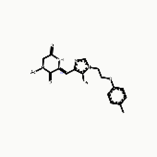 CC(=O)N1CC(=O)N/C(=C\c2ncn(CCOc3ccc(C)cc3)c2C(C)C)C1=O